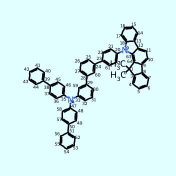 CC1(C)c2ccccc2-c2ccc3c4ccccc4n(-c4ccc(-c5cccc(-c6cccc(N(c7ccc(-c8ccccc8)cc7)c7ccc(-c8ccccc8)cc7)c6)c5)cc4)c3c21